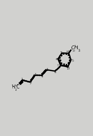 C=CC=CC=CCc1ccc(C)cc1